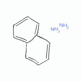 N.N.c1ccc2ccccc2c1